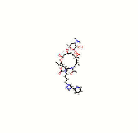 CC[C@H]1OC(=O)[C@H](C)C(=O)C[C@@H](O[C@@H]2OC(C)CC(N(C)C)C2O)[C@](C)(OC)C[C@@H](C)CN(C(C)=O)[C@H](C)[C@H]2N(CCCCn3cc(-c4ccccn4)nn3)C(=O)O[C@]12C